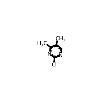 Cc1cnc(Cl)nc1C